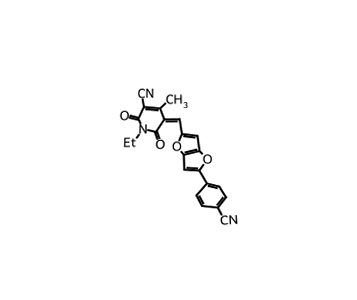 CCN1C(=O)C(C#N)=C(C)/C(=C/c2cc3oc(-c4ccc(C#N)cc4)cc3o2)C1=O